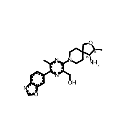 Cc1nc(N2CCC3(CC2)CO[C@@H](C)[C@H]3N)c(CO)nc1-c1ccc2ncoc2c1